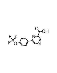 O=C(O)c1cncc(-c2ccc(OC(F)(F)F)cc2)n1